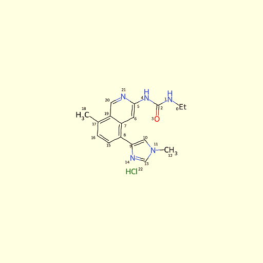 CCNC(=O)Nc1cc2c(-c3cn(C)cn3)ccc(C)c2cn1.Cl